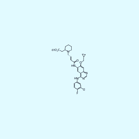 CCOC(=O)CC1CCCCN1CC=CC(=O)Nc1cc2c(Nc3ccc(F)c(Cl)c3)ncnc2cc1OCC1CC1